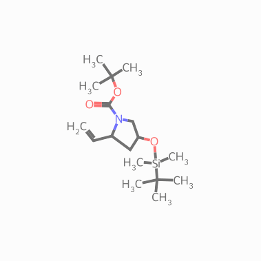 C=CC1CC(O[Si](C)(C)C(C)(C)C)CN1C(=O)OC(C)(C)C